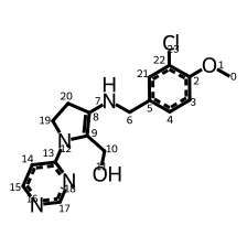 COc1ccc(CNC2=C(CO)N(c3ccncn3)CC2)cc1Cl